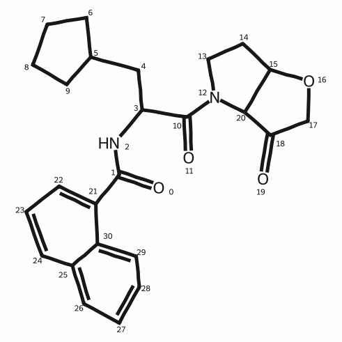 O=C(NC(CC1CCCC1)C(=O)N1CCC2OCC(=O)C21)c1cccc2ccccc12